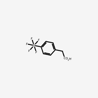 O=C(O)Cc1ccc(S(F)(F)(F)(F)F)cc1